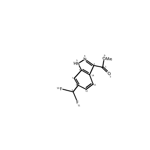 COC(=O)c1n[nH]c2cc(C(F)F)ccc12